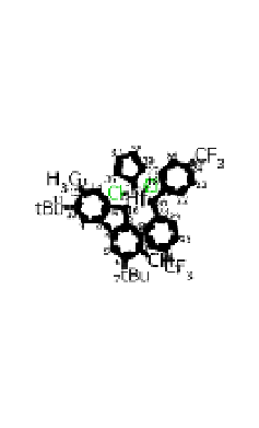 Cc1cc2c(cc1C(C)(C)C)-c1cc(C(C)(C)C)c(C)cc1[CH]2[Hf]([Cl])([Cl])(=[C](c1ccc(C(F)(F)F)cc1)c1ccc(C(F)(F)F)cc1)[CH]1C=CC=C1